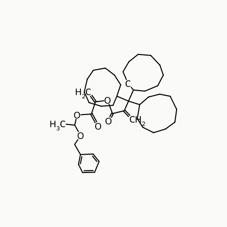 C=C(OC(=O)C(=C)C(C1CCCCCCCCC1)(C1CCCCCCCCC1)C1CCCCCCCCC1)C(=O)OC(C)OCc1ccccc1